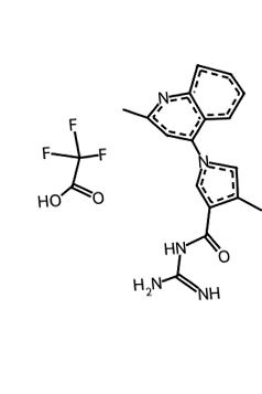 Cc1cc(-n2cc(C)c(C(=O)NC(=N)N)c2)c2ccccc2n1.O=C(O)C(F)(F)F